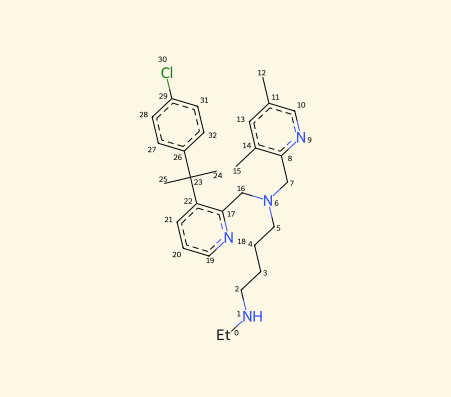 CCNCCCCN(Cc1ncc(C)cc1C)Cc1ncccc1C(C)(C)c1ccc(Cl)cc1